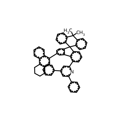 CC1(C)c2ccccc2C2(c3ccc(-c4cc5c(c6ccccc46)CCCC5)cc3-c3c(-c4cc(-c5ccccc5)cc(-c5ccccc5)n4)cccc32)c2ccccc21